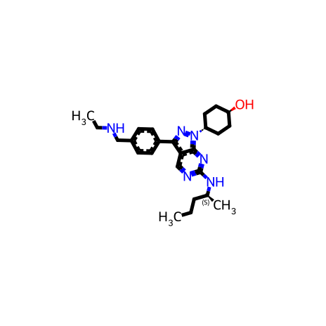 CCC[C@H](C)Nc1ncc2c(-c3ccc(CNCC)cc3)nn([C@H]3CC[C@H](O)CC3)c2n1